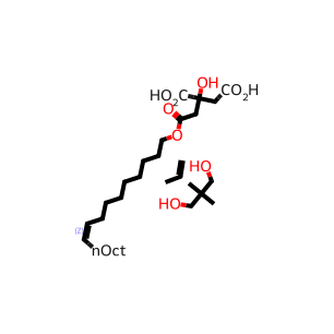 C=CC.CC(C)(CO)CO.CCCCCCCC/C=C\CCCCCCCCOC(=O)CC(O)(CC(=O)O)C(=O)O